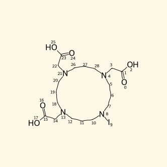 O=C(O)CN1CCCN(I)CCCN(CC(=O)O)CCCN(CC(=O)O)CCC1